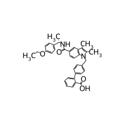 CCOc1ccc([C@H](C)NC(=O)c2ccc3c(c2)c(C)c(C)n3Cc2ccc(-c3ccccc3C(=O)O)cc2)cc1